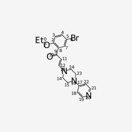 CCOc1ccc(Br)cc1C(=O)C=CN1CCN(c2ccncc2)CC1